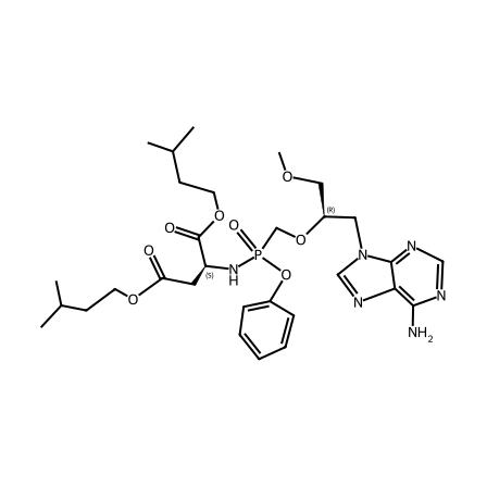 COC[C@@H](Cn1cnc2c(N)ncnc21)OCP(=O)(N[C@@H](CC(=O)OCCC(C)C)C(=O)OCCC(C)C)Oc1ccccc1